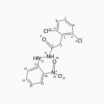 O=C(Cc1c(Cl)cccc1Cl)NNc1ccccc1[N+](=O)[O-]